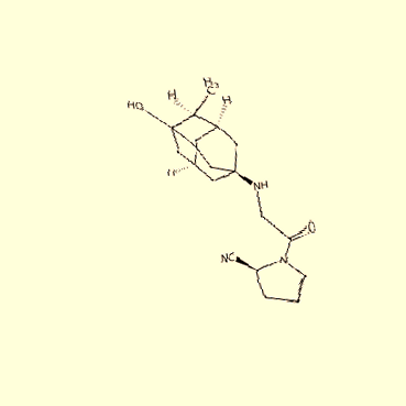 C[C@H]1[C@@H]2C[C@@H]3CC1(O)C[C@@](NCC(=O)N1CCC[C@H]1C#N)(C3)C2